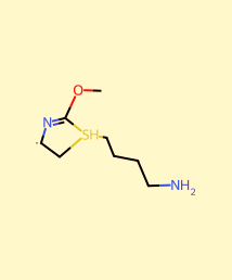 COC1=N[CH]C[SH]1CCCCN